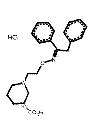 Cl.O=C(O)[C@@H]1CCCN(CCO/N=C(/Cc2ccccc2)c2ccccc2)C1